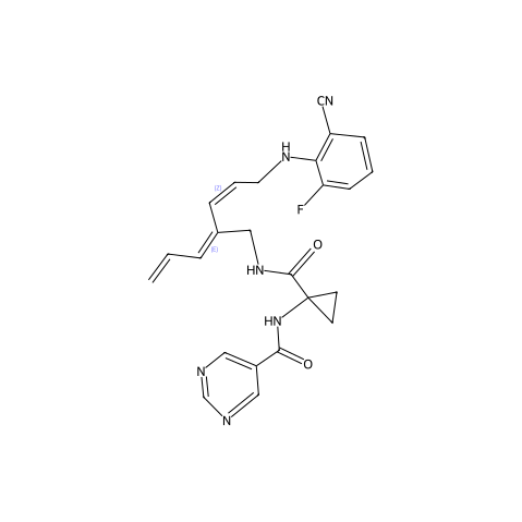 C=C/C=C(\C=C/CNc1c(F)cccc1C#N)CNC(=O)C1(NC(=O)c2cncnc2)CC1